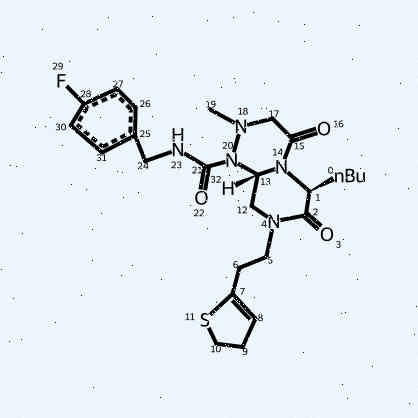 CCCC[C@H]1C(=O)N(CCC2=CCCS2)C[C@H]2N1C(=O)CN(C)N2C(=O)NCc1ccc(F)cc1